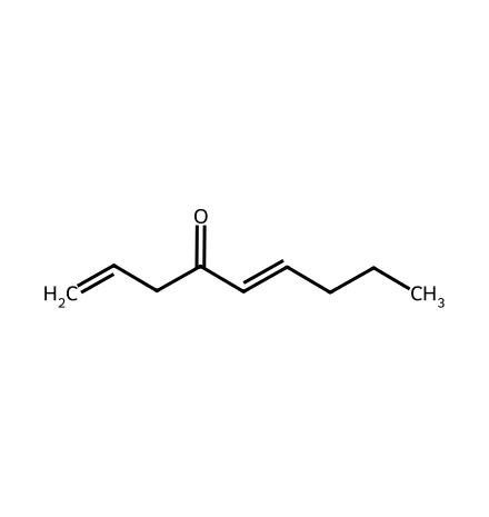 C=CCC(=O)C=CCCC